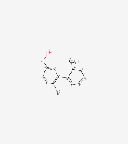 CC(=O)c1ccc(CO)cc1-c1ccccc1C(=O)O